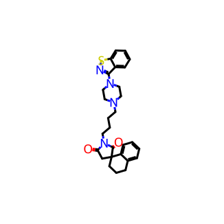 O=C1CC2(CCCc3ccccc32)C(=O)N1CCCCN1CCN(c2nsc3ccccc23)CC1